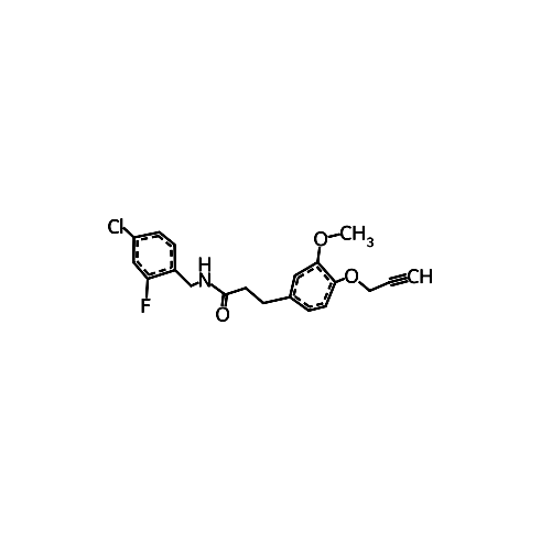 C#CCOc1ccc(CCC(=O)NCc2ccc(Cl)cc2F)cc1OC